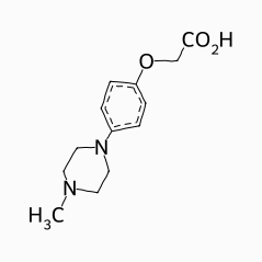 CN1CCN(c2ccc(OCC(=O)O)cc2)CC1